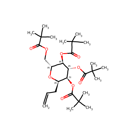 C=CC[C@H]1O[C@H](COC(=O)C(C)(C)C)[C@@H](OC(=O)C(C)(C)C)[C@H](OC(=O)C(C)(C)C)[C@H]1OC(=O)C(C)(C)C